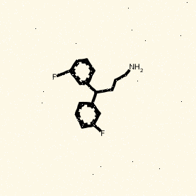 NCCCC(c1cccc(F)c1)c1cccc(F)c1